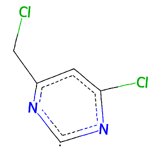 ClCc1cc(Cl)n[c]n1